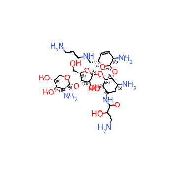 NCCCNC[C@@H]1C=C[C@@H](N)[C@@H](O[C@H]2[C@H](O[C@@H]3O[C@H](CO)[C@@H](O[C@H]4OC[C@@H](O)[C@H](O)[C@H]4N)[C@H]3O)[C@@H](O)[C@H](NC(=O)C(O)CN)C[C@@H]2N)O1